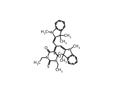 CCN1C(=O)C(=C(C=C2N(C)c3ccccc3C2(C)C)C=C2N(C)c3ccccc3C2(C)C)C(=O)N(CC)C1=S